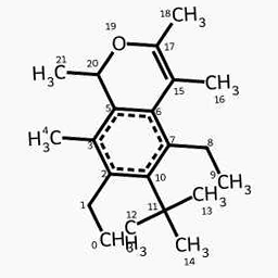 CCc1c(C)c2c(c(CC)c1C(C)(C)C)C(C)=C(C)OC2C